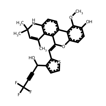 COc1c(O)ccc2c1-c1ccc3c(c1/C(=C/c1sccc1C(O)C#CC(F)(F)F)O2)C(C)=CC(C)(C)N3